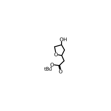 CC(C)(C)OC(=O)CC1CC(O)CO1